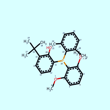 COc1cccc(OC)c1P(c1cccc(C(C)(C)C)c1O)c1c(C)cccc1C